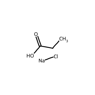 CCC(=O)O.[Na][Cl]